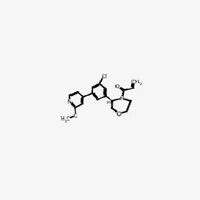 C=CC(=O)N1CCOC[C@H]1c1cc(Cl)cc(-c2ccnc(OC)c2)c1